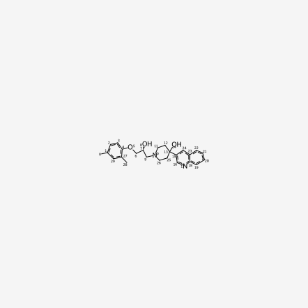 Cc1ccc(OC[C@@H](O)CN2CCC(O)(c3cnc4ccccc4c3)CC2)c(C)c1